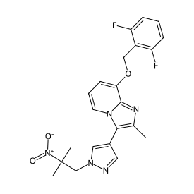 Cc1nc2c(OCc3c(F)cccc3F)cccn2c1-c1cnn(CC(C)(C)[N+](=O)[O-])c1